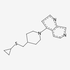 c1cc2c(N3CCC(CSC4CC4)CC3)ccnc2cn1